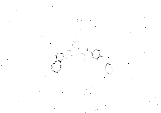 O=C(NCCC(Cc1cccc2ccccc12)C(=O)NO)c1ccc(Oc2ccccc2)cc1